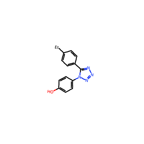 CCc1ccc(-c2nnnn2-c2ccc(O)cc2)cc1